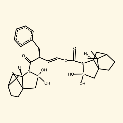 CC1(C)C2CCC13CS(O)(O)N(C(=O)C/C=C/[C@H](Cc1ccccc1)C(=O)N1[C@H]4CC5CCC4(CS1(O)O)C5(C)C)[C@H]3C2